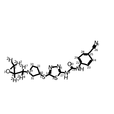 [2H]C1([2H])OC1([2H])C([2H])([2H])N1CC[C@@H](Sc2nnc(NC(=O)Nc3ccc(C#N)cc3)s2)C1